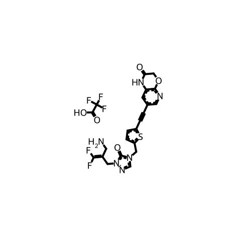 NCC(Cn1ncn(Cc2ccc(C#Cc3cnc4c(c3)NC(=O)CO4)s2)c1=O)=C(F)F.O=C(O)C(F)(F)F